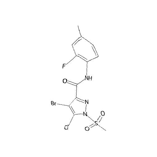 Cc1ccc(NC(=O)c2nn(S(C)(=O)=O)c(Cl)c2Br)c(F)c1